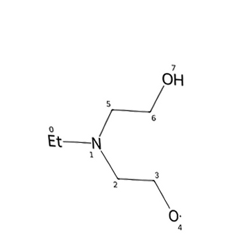 CCN(CC[O])CCO